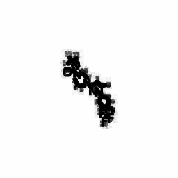 Cc1cc(N2CCCN(C(=O)OC(C)(C)C)CC2)nn1-c1ccc(OC(F)(F)F)cc1